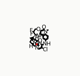 CN1C[C@H]2CC[C@@H](C1=O)N2c1ncc(Cl)c(Nc2ccc3c(c2)c2c(c(=O)n3C)OCC(F)(F)[C@H](C3CC3)N2)n1